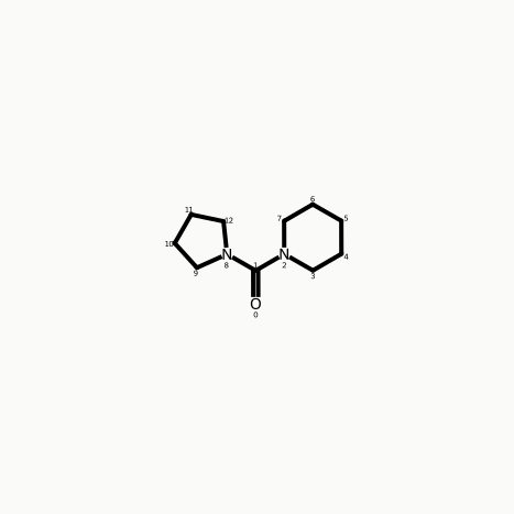 O=C(N1CCCCC1)N1CCCC1